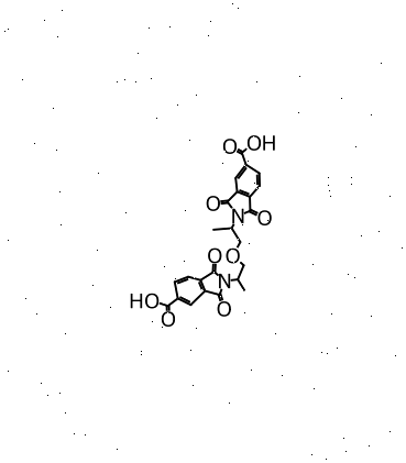 CC(COCC(C)N1C(=O)c2ccc(C(=O)O)cc2C1=O)N1C(=O)c2ccc(C(=O)O)cc2C1=O